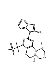 C[C@@H]1COC[C@H]2COc3c(nc(-n4c(N)nc5ccccc54)nc3C(C)(C)S(C)(=O)=O)N21